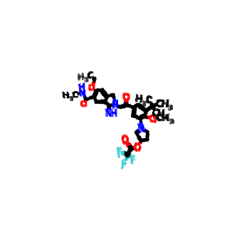 CCOc1cc2c(cc1C(=O)NC)C(=N)N(CC(=O)c1cc(N3CCC(OC(=O)C(F)(F)F)C3)c(OC)c(C(C)(C)C)c1)C2